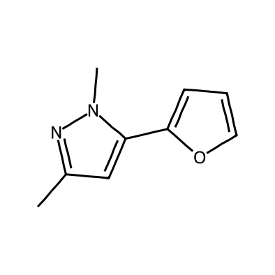 Cc1cc(-c2ccco2)n(C)n1